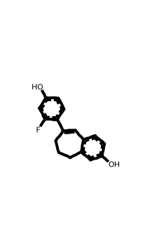 Oc1ccc(C2=Cc3ccc(O)cc3CCC2)c(F)c1